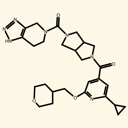 O=C(c1cc(OCC2CCOCC2)nc(C2CC2)c1)N1CC2CN(C(=O)N3CCc4[nH]nnc4C3)CC2C1